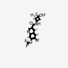 CC1(O)CC(NC(=O)c2cnc3cc(OC(F)F)c(Br)cc3c2)C1